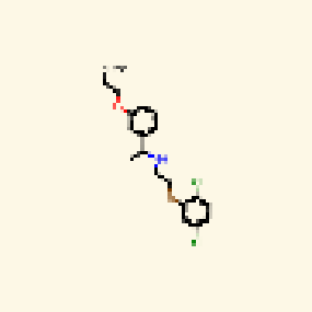 CCCCCCCCCCCCOc1cccc(C(C)NCCSc2cc(Cl)ccc2Cl)c1